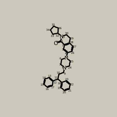 O=C1c2cc(N3CCN(CCC(c4ccccc4)c4ccccc4)CC3)ccc2CCN1C1CCCC1